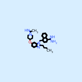 CCCCc1nc2ccc(OC3CCN(C(C)=N)CC3)cc2n1Cc1ccc(C(=N)N)c2ccccc12